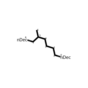 CCCCCCCCCCCCC[CH]C(C)CCCCCCCCCCC